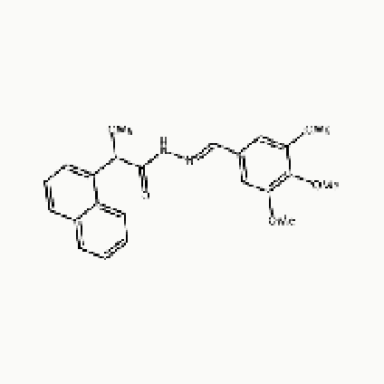 COc1cc(C=NNC(=O)C(OC)c2cccc3ccccc23)cc(OC)c1OC